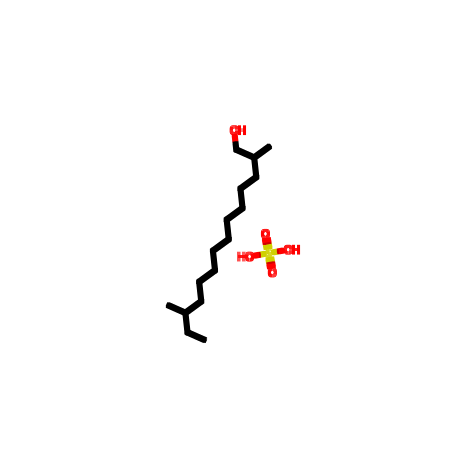 CCC(C)CCCCCCCCCC(C)CO.O=S(=O)(O)O